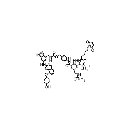 CC(C)C(NC(=O)CCCCCN1C(=O)C=CC1=O)C(=O)N[C@@H](CCCNC(N)=O)C(=O)Nc1ccc(COC(=O)NCc2cc(Nc3ncc4cccc(OC5CCC(O)CC5)c4n3)cc3[nH]cnc23)cc1